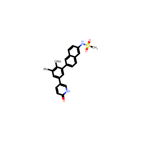 COc1c(-c2ccc3cc(NS(C)(=O)=O)ccc3c2)cc(-c2ccc(=O)[nH]c2)cc1C(C)(C)C